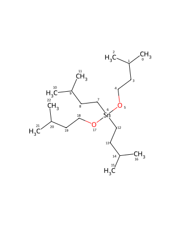 CC(C)CC[O][Sn]([CH2]CC(C)C)([CH2]CC(C)C)[O]CCC(C)C